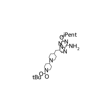 CCC[C@H](C)Oc1nc(N)c2ncc(CC3CCN(C4CCN(C(=O)OC(C)(C)C)CC4)CC3)n2n1